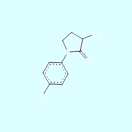 CC1CCN(c2ccc(Cl)cc2)C1=O